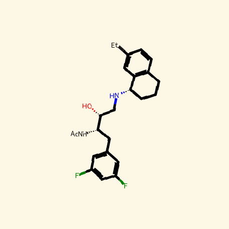 CCc1ccc2c(c1)[C@@H](NC[C@@H](O)[C@H](Cc1cc(F)cc(F)c1)NC(C)=O)CCC2